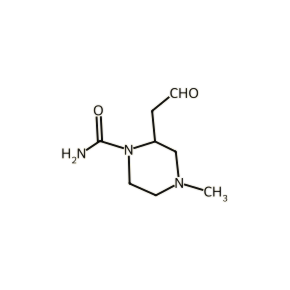 CN1CCN(C(N)=O)C(CC=O)C1